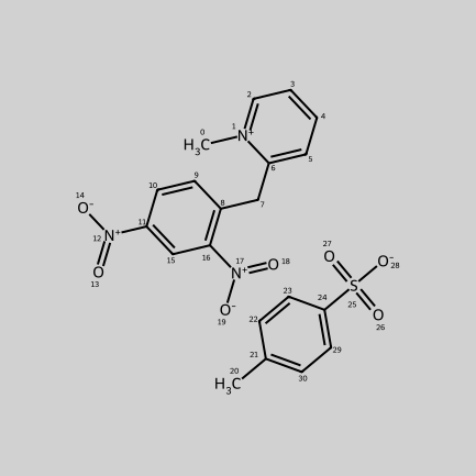 C[n+]1ccccc1Cc1ccc([N+](=O)[O-])cc1[N+](=O)[O-].Cc1ccc(S(=O)(=O)[O-])cc1